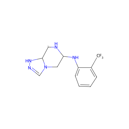 FC(F)(F)c1ccccc1NC1CN2C=NNC2[C]N1